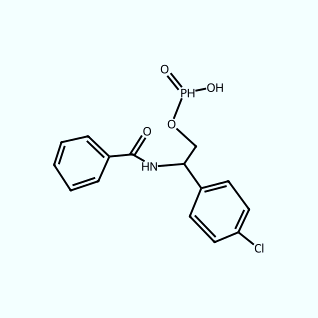 O=C(NC(CO[PH](=O)O)c1ccc(Cl)cc1)c1ccccc1